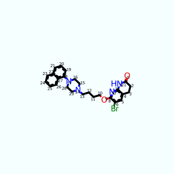 O=C1CCc2cc(Br)c(OCCCCN3CCN(c4cccc5ccccc45)CC3)nc2N1